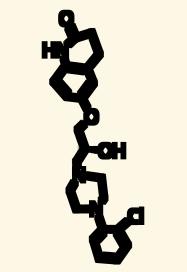 O=C1CCc2cc(OC[C@@H](O)CN3CCN(c4ccccc4Cl)CC3)ccc2N1